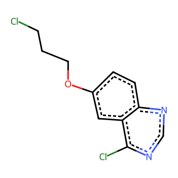 ClCCCOc1ccc2ncnc(Cl)c2c1